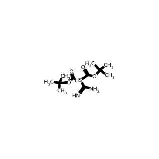 CC(C)(C)OC(=O)[SH](C(=N)N)C(=O)OC(C)(C)C